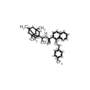 CC12CC3(C)CC(C)(C1)CC(C(NC(=O)c1ccc4cccnc4c1OCc1ccc(C(F)(F)F)cc1)C(=O)O)(C2)C3